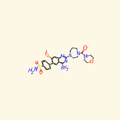 COc1cc2nc(N3CCCN(C(=O)N4CCOCC4)CC3)nc(N)c2cc1-c1ccc(S(N)(=O)=O)cc1